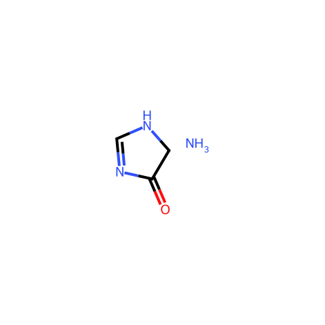 N.O=C1CNC=N1